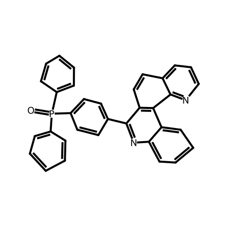 O=P(c1ccccc1)(c1ccccc1)c1ccc(-c2nc3ccccc3c3c2ccc2cccnc23)cc1